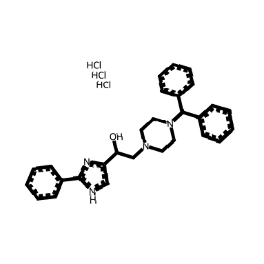 Cl.Cl.Cl.OC(CN1CCN(C(c2ccccc2)c2ccccc2)CC1)c1c[nH]c(-c2ccccc2)n1